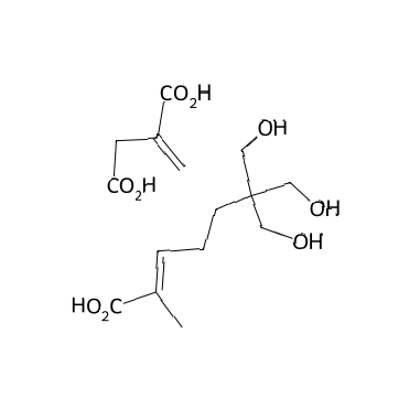 C=C(CC(=O)O)C(=O)O.CC(=CCCC(CO)(CO)CO)C(=O)O